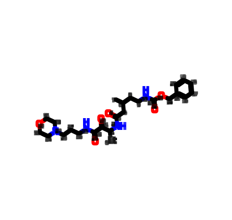 CCC(NC(=O)CC(C)CCNC(=O)OCc1ccccc1)C(=O)C(=O)NCCCN1CCOCC1